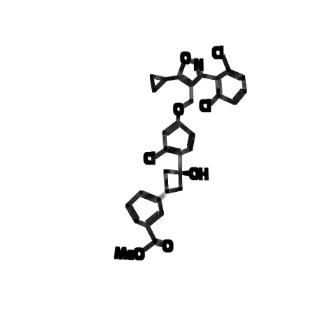 COC(=O)c1cccc([C@H]2C[C@@](O)(c3ccc(OCc4c(-c5c(Cl)cccc5Cl)noc4C4CC4)cc3Cl)C2)c1